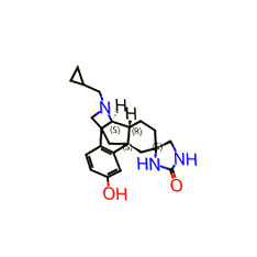 O=C1NC[C@@]2(CC[C@H]3[C@@H]4N(CC5CC5)CC45C[C@@]3(C2)c2cc(O)ccc25)N1